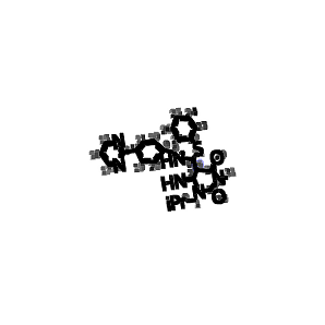 CC(C)CN1C(=N)/C(=C(\NCc2ccc(-c3ncccn3)cc2)Sc2ccccc2)C(=O)N(C)C1=O